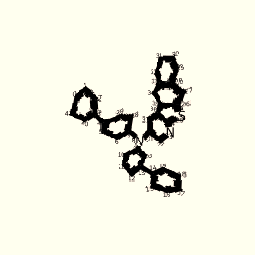 c1ccc(-c2ccc(N(c3cccc(-c4ccccc4)c3)c3cnc4sc5cc6ccccc6cc5c4c3)cc2)cc1